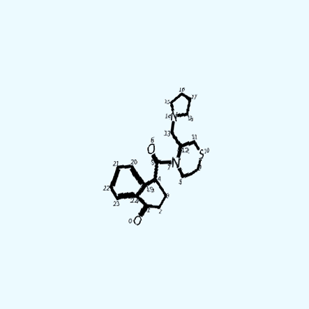 O=C1CCC(C(=O)N2CCSCC2CN2CCCC2)c2ccccc21